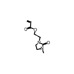 C=CC(=O)OCCN1CCN(C)C1=O